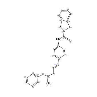 CN(C/C=C/c1ccc(NC(=O)N2Cc3ccccc3C2)cc1)Cc1ccccc1